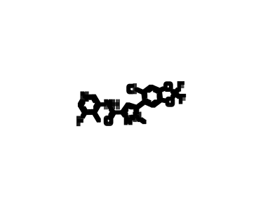 Cc1c(F)cncc1NC(=O)c1cc(-c2cc3c(cc2Cl)OC(F)(F)O3)n(C)n1